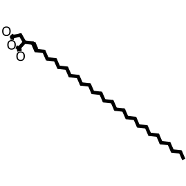 CCCCCCCCCCCCCCCCCCCCCCCCCCC=CC1CC(=O)OC1=O